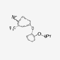 CC(C)Oc1ccccc1Oc1ccc(C#N)c(C(F)(F)F)c1